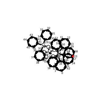 c1ccc([Si]([O][V]2([O][Si](c3ccccc3)(c3ccccc3)c3ccccc3)([O][Si](c3ccccc3)(c3ccccc3)c3ccccc3)[O][O]2)(c2ccccc2)c2ccccc2)cc1